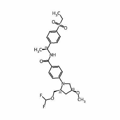 CCS(=O)(=O)c1ccc([C@H](C)NC(=O)c2ccc(N3C[C@@H](OC)C[C@H]3COC(F)F)cc2)cc1